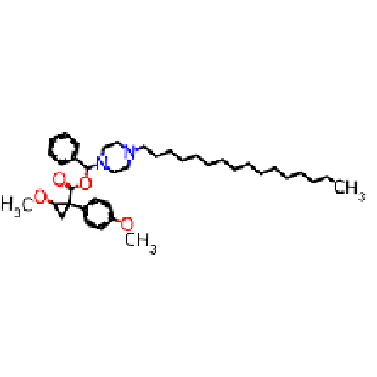 CCCCCCCCCCCCCCCCN1CCN(C(OC(=O)C2(c3ccc(OC)cc3)CC2OC)c2ccccc2)CC1